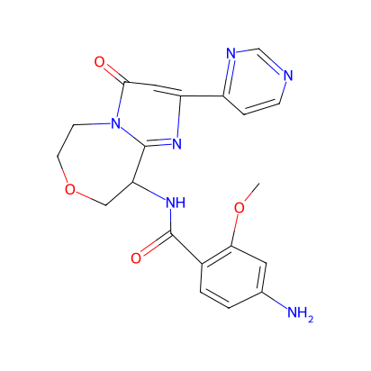 COc1cc(N)ccc1C(=O)NC1COCCn2c1nc(-c1ccncn1)cc2=O